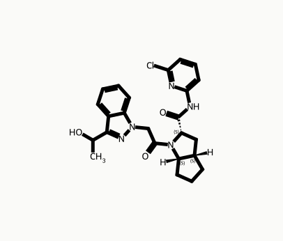 CC(O)c1nn(CC(=O)N2[C@H](C(=O)Nc3cccc(Cl)n3)C[C@@H]3CCC[C@@H]32)c2ccccc12